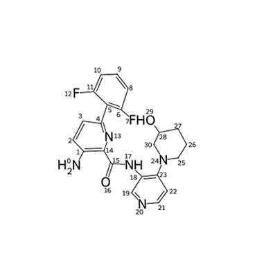 Nc1ccc(-c2c(F)cccc2F)nc1C(=O)Nc1cnccc1N1CCCC(O)C1